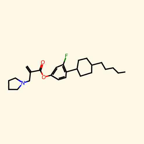 C=C(CN1CCCC1)C(=O)Oc1ccc(C2CCC(CCCCC)CC2)c(F)c1